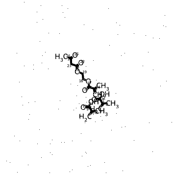 C=C(C)C(=O)O.C=C(C)C(=O)O.C=C(C)C(=O)OCCOC(=O)CC(C)=O